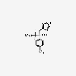 CSC(F)(F)C(O)(Cc1nc[nH]n1)c1ccc(C(F)(F)F)cc1